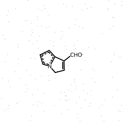 O=[C]C1=CCn2cccc21